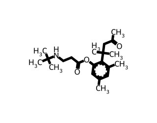 CC(=O)CC(C)(C)c1c(C)cc(C)cc1OC(=O)CCNC(C)(C)C